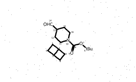 C1CC2CCC12.CC(C)(C)OC(=O)N1CCC(C=O)CC1